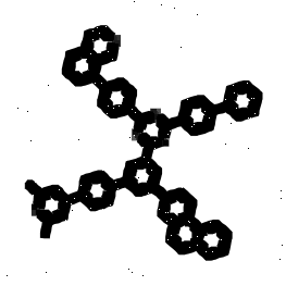 Cc1cc(-c2ccc(-c3cc(-c4ccc5c(ccc6ccccc65)c4)cc(-c4nc(-c5ccc(-c6ccccc6)cc5)nc(-c5ccc(-c6cccc7ccncc67)cc5)n4)c3)cc2)cc(C)n1